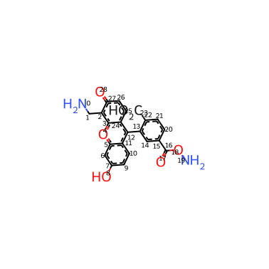 NCc1c2oc3cc(O)ccc3c(-c3cc(C(=O)ON)ccc3C(=O)O)c-2ccc1=O